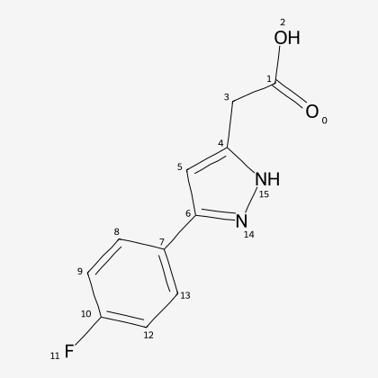 O=C(O)Cc1cc(-c2ccc(F)cc2)n[nH]1